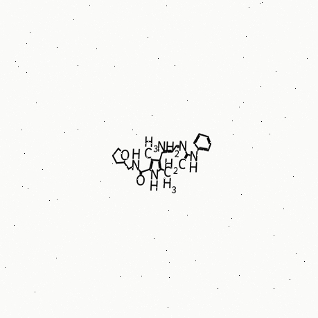 C=C(/N=C\C=C(/N)c1c(C)[nH]c(C(=O)NCC2CCCO2)c1C)Nc1ccccc1